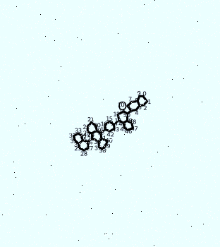 c1ccc2cc3c(cc2c1)oc1cc(-c2ccc(-c4c5ccccc5c(-c5cccc6ccccc56)c5ccccc45)cc2)c2ccccc2c13